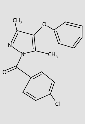 Cc1nn(C(=O)c2ccc(Cl)cc2)c(C)c1Oc1ccccc1